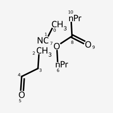 CC#N.CCC=O.CCCOC(=O)CCC